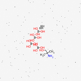 CC(C)(N)CO.OB(O)O.OB(O)O.OB(O)O.OB(O)O.[KH].[KH]